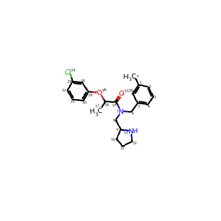 Cc1cccc(CN(CC2CCCN2)C(=O)C(C)Oc2cccc(Cl)c2)c1